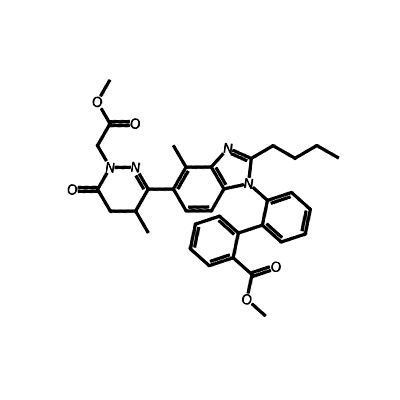 CCCCc1nc2c(C)c(C3=NN(CC(=O)OC)C(=O)CC3C)ccc2n1-c1ccccc1-c1ccccc1C(=O)OC